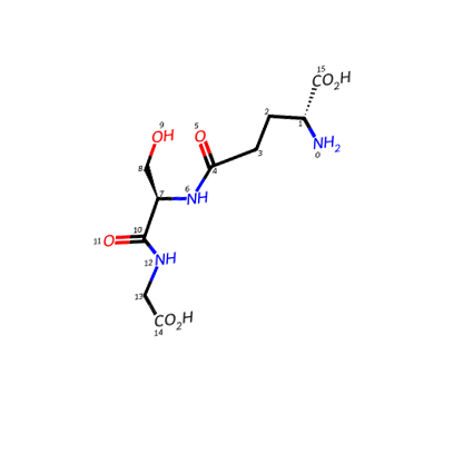 N[C@H](CCC(=O)N[C@H](CO)C(=O)NCC(=O)O)C(=O)O